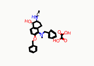 CCN[C@H]1CCc2c(ccc(OCc3ccccc3)c2N(C)Cc2ccccc2)[C@@H]1O.O=C(O)C(=O)O